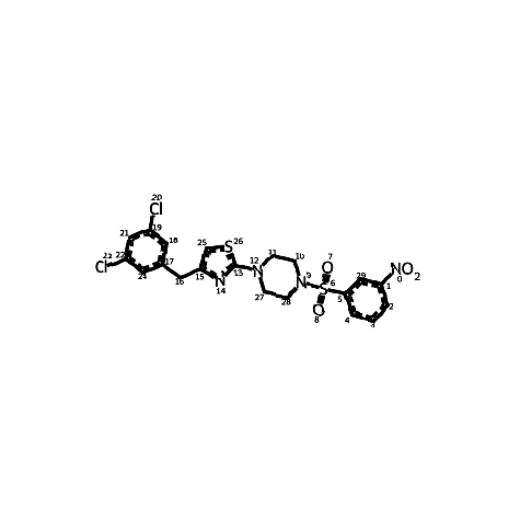 O=[N+]([O-])c1cccc(S(=O)(=O)N2CCN(c3nc(Cc4cc(Cl)cc(Cl)c4)cs3)CC2)c1